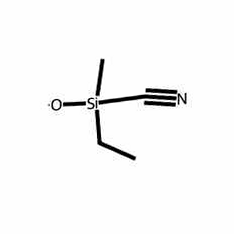 CC[Si](C)([O])C#N